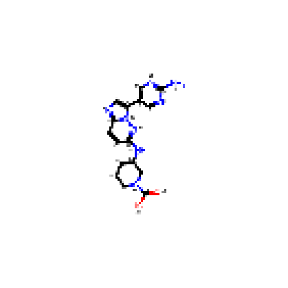 Nc1ncc(-c2cnc3ccc(NC4CCCN(C(=O)O)C4)nn23)cn1